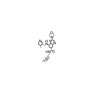 Cc1ccncc1CNc1cc(C(=O)NCCO[Si](C)(C)C(C)(C)C)cc2ncc(N3CCOCC3)nc12